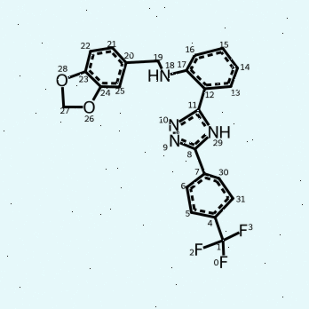 FC(F)(F)c1ccc(-c2nnc(-c3ccccc3NCc3ccc4c(c3)OCO4)[nH]2)cc1